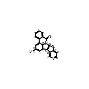 O=c1c2ccccc2c2cc(Br)cc3c4c5cnccc5sc4n1c23